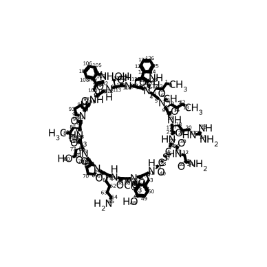 CCCC[C@H]1C(=O)N(C)[C@@H](CCCC)C(=O)N[C@@H](CCCNC(=N)N)C(=O)N[C@H](C(=O)NCC(N)=O)CSCC(=O)N[C@@H](Cc2ccc(O)cc2)C(=O)N(C)[C@@H](C)C(=O)N[C@@H](CCCCN)C(=O)N2CCC[C@H]2C(=O)N[C@@H](CC(=O)O)C(=O)N[C@@H](CC(C)C)C(=O)N2CCC[C@H]2C(=O)N[C@@H](Cc2c[nH]c3ccccc23)C(=O)N[C@@H](CO)C(=O)N[C@@H](Cc2c[nH]c3ccccc23)C(=O)N1C